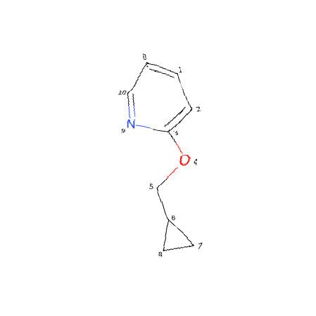 [c]1ccc(OCC2CC2)nc1